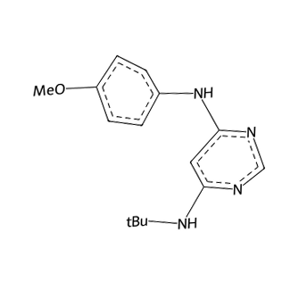 COc1ccc(Nc2cc(NC(C)(C)C)ncn2)cc1